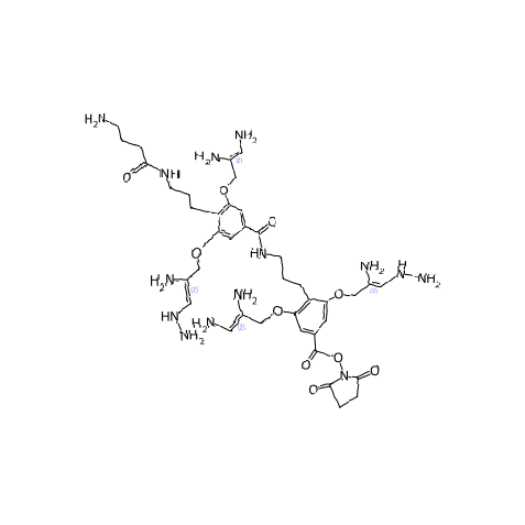 N/C=C(\N)COc1cc(C(=O)NCCCc2c(OC/C(N)=C/N)cc(C(=O)ON3C(=O)CCC3=O)cc2OC/C(N)=C/NN)cc(OC/C(N)=C/NN)c1CCCNC(=O)CCCN